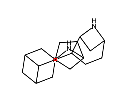 C1CC(N2CC3CC(C2)C3C23CCC(C2)N3)C2CC1N2